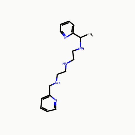 CC(NCCNCCNCc1ccccn1)c1ccccn1